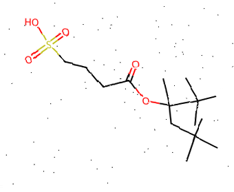 CC(C)(C)CC(C)(OC(=O)CCCS(=O)(=O)O)C(C)(C)C